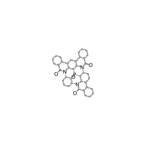 O=c1c2ccccc2c2ccc3c4c2n1-c1cccc2c1P4(=O)c1c4c(cc5c6ccccc6c(=O)n-3c15)c1ccccc1c(=O)n4-2